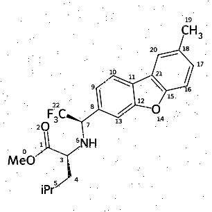 COC(=O)[C@H](CC(C)C)N[C@H](c1ccc2c(c1)oc1ccc(C)cc12)C(F)(F)F